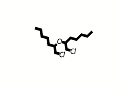 CCCCCC(CCl)OC(CCl)CCCCC